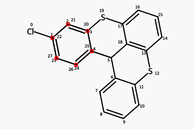 Clc1ccc(C23c4ccccc4Sc4cccc(c42)Sc2ccccc23)cc1